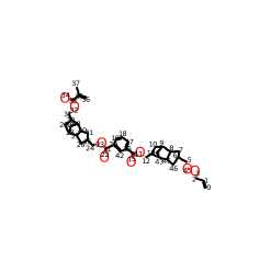 C=CCOOCC1CC2C3CC(COC(=O)c4cccc(C(=O)OCC5CC6C7CC(COC(=O)C(=C)C)C(C7)C6C5)c4)C(C3)C2C1